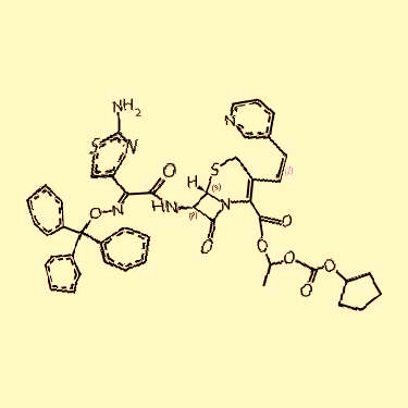 CC(OC(=O)OC1CCCC1)OC(=O)C1=C(/C=C\c2cccnc2)CS[C@H]2[C@H](NC(=O)C(=NOC(c3ccccc3)(c3ccccc3)c3ccccc3)c3csc(N)n3)C(=O)N12